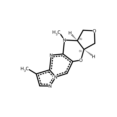 Cc1cnn2cc3c(nc12)N(C)[C@H]1COC[C@H]1O3